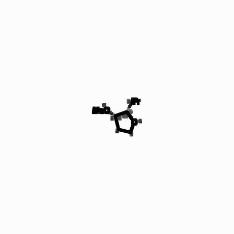 CO[C@H]1CCO[C@H]1C(C)C